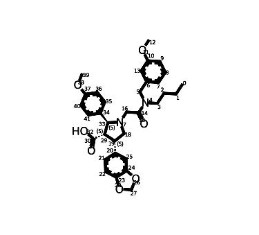 CCCCN(Cc1cccc(OC)c1)C(=O)CN1C[C@H](c2ccc3c(c2)OCO3)[C@H](C(=O)O)[C@H]1c1ccc(OC)cc1